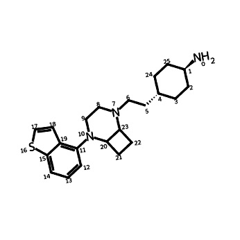 N[C@H]1CC[C@H](CCN2CCN(c3cccc4sccc34)C3CCC32)CC1